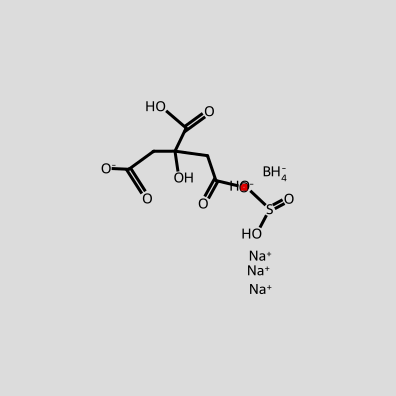 O=C([O-])CC(O)(CC(=O)[O-])C(=O)O.O=S(O)O.[BH4-].[Na+].[Na+].[Na+]